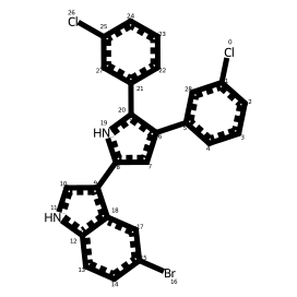 Clc1cccc(-c2cc(-c3c[nH]c4ccc(Br)cc34)[nH]c2-c2cccc(Cl)c2)c1